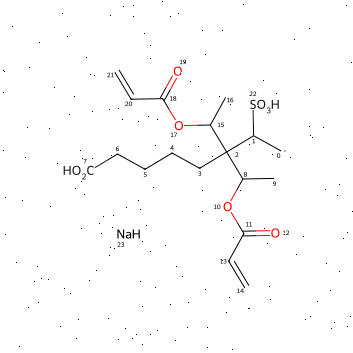 [CH2]C(C(CCCCC(=O)O)(C(C)OC(=O)C=C)C(C)OC(=O)C=C)S(=O)(=O)O.[NaH]